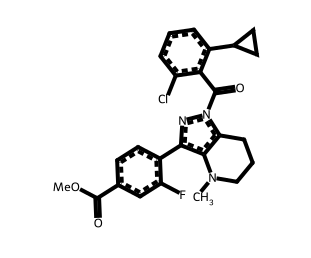 COC(=O)c1ccc(-c2nn(C(=O)c3c(Cl)cccc3C3CC3)c3c2N(C)CCC3)c(F)c1